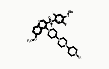 CCN1CCC(N2CCN(C3CCN(c4c(S(=O)(=O)c5cc(F)c(OC(C)(C)C)cc5F)cnc5ccc(OC(F)(F)F)cc45)CC3)CC2)CC1